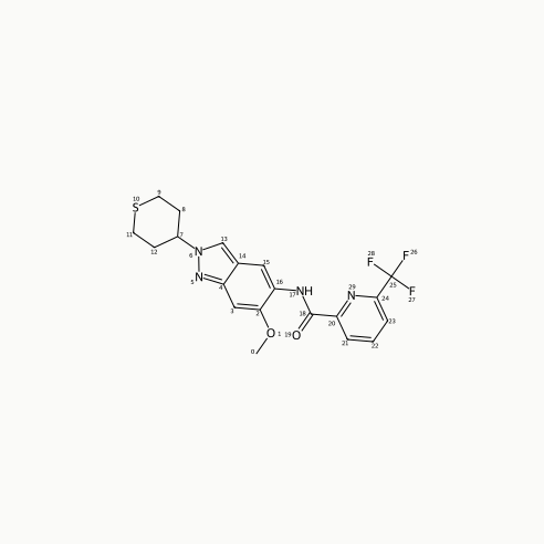 COc1cc2nn(C3CCSCC3)cc2cc1NC(=O)c1cccc(C(F)(F)F)n1